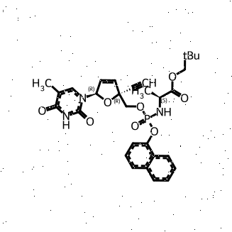 C#C[C@@]1(COP(=O)(N[C@@H](C)C(=O)OCC(C)(C)C)Oc2cccc3ccccc23)C=C[C@H](n2cc(C)c(=O)[nH]c2=O)O1